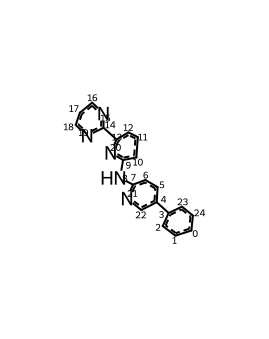 c1ccc(-c2ccc(Nc3cccc(-c4ncccn4)n3)nc2)cc1